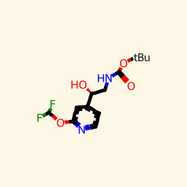 CC(C)(C)OC(=O)NC[C@H](O)c1ccnc(OC(F)F)c1